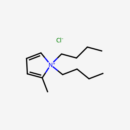 CCCC[N+]1(CCCC)C=CC=C1C.[Cl-]